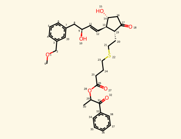 COCc1cccc(C[C@H](O)/C=C/[C@H]2[C@H](O)CC(=O)[C@@H]2CCSCCCC(=O)OC(C)C(=O)c2ccccc2)c1